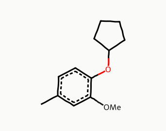 COc1cc(C)ccc1OC1CCCC1